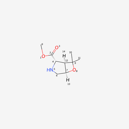 COC(=O)[C@H]1NC[C@@H]2OC(C)(C)[C@@H]21